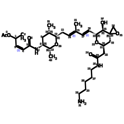 CC(=O)OC(C)/C=C\C(=O)N[C@@H]1C[C@H](C)[C@H](C/C=C(C)/C=C/[C@H]2O[C@H](CC(=O)NCCCCCN)C[C@@]3(CO3)[C@@H]2O)O[C@@H]1C